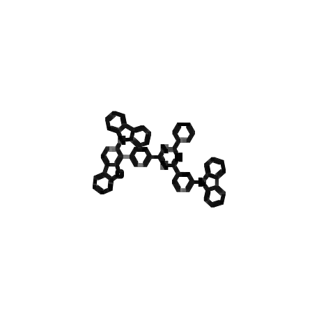 c1ccc(-c2nc(-c3ccc(-c4c(-n5c6ccccc6c6ccccc65)ccc5c4oc4ccccc45)cc3)nc(-c3cccc(-n4c5ccccc5c5ccccc54)c3)n2)cc1